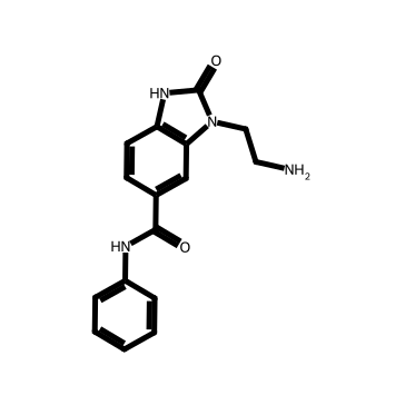 NCCn1c(=O)[nH]c2ccc(C(=O)Nc3ccccc3)cc21